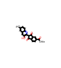 COC(=O)c1ccc2c(c1)C(=O)C(c1nc3ccc(C(C)C)cc3cc1O)C2=O